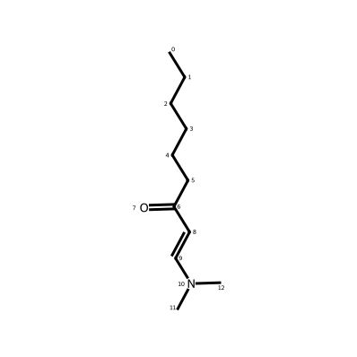 CCCCCCC(=O)/C=C/N(C)C